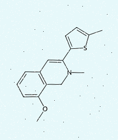 COc1cccc2c1CN(C)C(c1ccc(C)s1)=C2